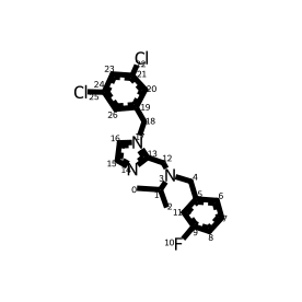 CC(C)N(Cc1cccc(F)c1)Cc1nccn1Cc1cc(Cl)cc(Cl)c1